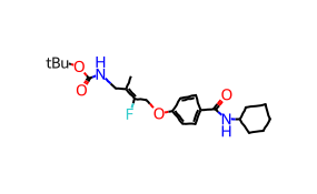 C/C(CNC(=O)OC(C)(C)C)=C(/F)COc1ccc(C(=O)NC2CCCCC2)cc1